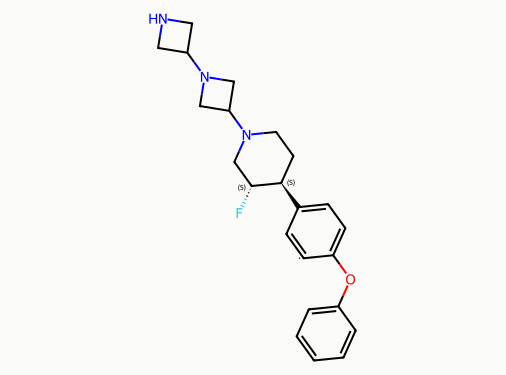 F[C@@H]1CN(C2CN(C3CNC3)C2)CC[C@H]1c1c[c]c(Oc2ccccc2)cc1